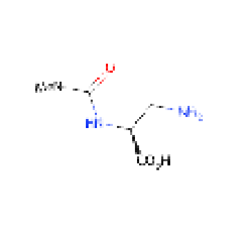 CNC(=O)N[C@@H](CN)C(=O)O